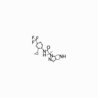 CC(C)(C(=O)Nc1ccc(C(F)(F)F)cc1C1CC1)n1ncc2c1CNC2